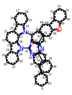 c1ccc(-c2ccc(-c3cccc(-n4c5ccccc5c5ccc6c7ccccc7n(-c7nc(-c8ccccc8)nc(-c8ccc9c(c8)oc8ccccc89)n7)c6c54)c3)cc2)cc1